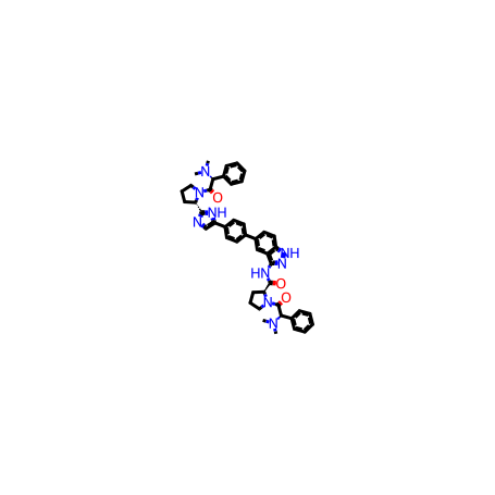 CN(C)[C@@H](C(=O)N1CCC[C@H]1C(=O)Nc1n[nH]c2ccc(-c3ccc(-c4cnc([C@@H]5CCCN5C(=O)[C@@H](c5ccccc5)N(C)C)[nH]4)cc3)cc12)c1ccccc1